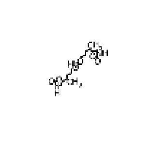 CC(CCCOBOCCCC(C)C1CNC(=O)O1)C1CNC(=O)O1